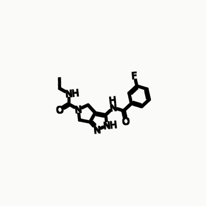 CCNC(=O)N1Cc2n[nH]c(NC(=O)c3cccc(F)c3)c2C1